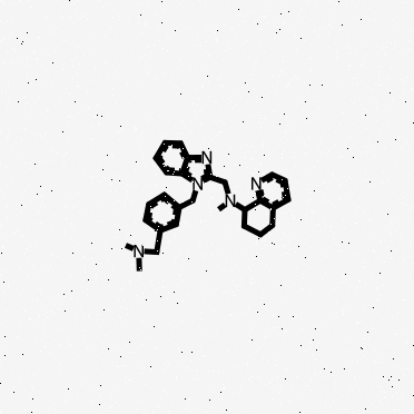 CN(C)Cc1cccc(Cn2c(CN(C)C3CCCc4cccnc43)nc3ccccc32)c1